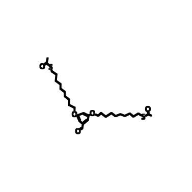 CC(=O)SCCCCCCCCCCOc1cc(C=O)cc(OCCCCCCCCCCSC(C)=O)c1